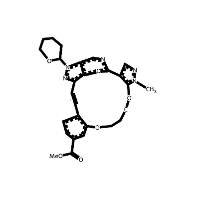 COC(=O)c1ccc2c(c1)OCCCOc1c(cnn1C)-c1cc3c(nn(C4CCCCO4)c3cn1)/C=C/2